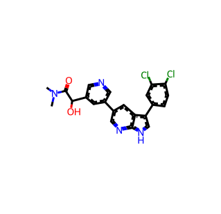 CN(C)C(=O)C(O)c1cncc(-c2cnc3[nH]cc(-c4ccc(Cl)c(Cl)c4)c3c2)c1